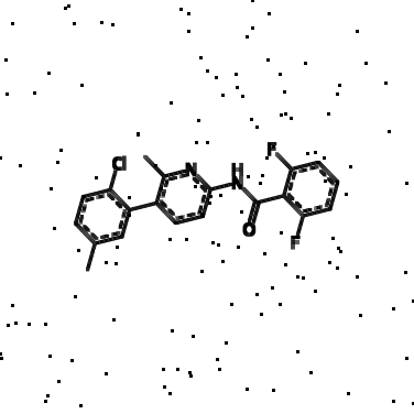 Cc1ccc(Cl)c(-c2ccc(NC(=O)c3c(F)cccc3F)nc2C)c1